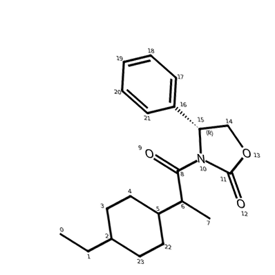 CCC1CCC(C(C)C(=O)N2C(=O)OC[C@H]2c2ccccc2)CC1